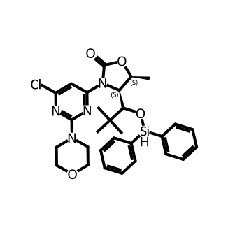 C[C@@H]1OC(=O)N(c2cc(Cl)nc(N3CCOCC3)n2)[C@@H]1C(O[SiH](c1ccccc1)c1ccccc1)C(C)(C)C